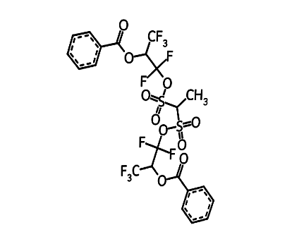 CC(S(=O)(=O)OC(F)(F)C(OC(=O)c1ccccc1)C(F)(F)F)S(=O)(=O)OC(F)(F)C(OC(=O)c1ccccc1)C(F)(F)F